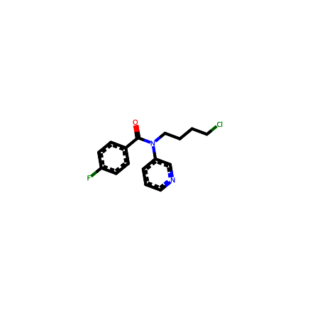 O=C(c1ccc(F)cc1)N(CCCCCl)c1cccnc1